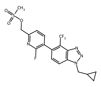 CS(=O)(=O)OCc1ccc(-c2ccc3c(nnn3CC3CC3)c2C(F)(F)F)c(F)n1